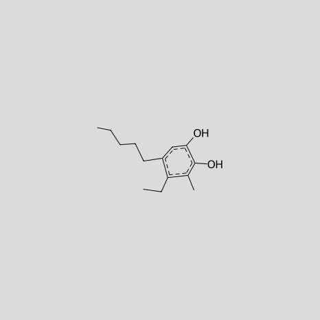 CCCCCc1cc(O)c(O)c(C)c1CC